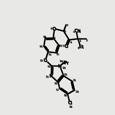 CCC(C)(C#N)C(=O)C(C)Oc1ccc(Oc2nc3cc(Cl)ccc3n2C(C)C)cc1